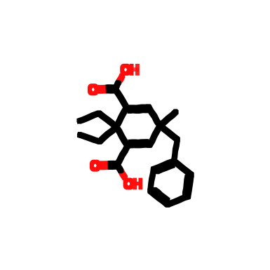 CCC1(CC)C(C(=O)O)=CC(C)(Cc2ccccc2)C=C1C(=O)O